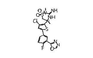 CN1C(=N)N[C@](C)(c2sc(-c3ccc(F)c(-c4nnco4)c3)cc2Cl)CS1(=O)=O